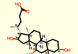 C[C@H](CCC(=O)O)[C@H]1[C@H](O)C[C@H]2[C@@H]3[C@H](O)C[C@H]4C[C@H](O)CC[C@]4(C)[C@H]3CC[C@]12C